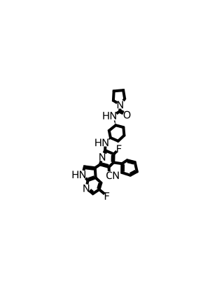 N#Cc1c(-c2c[nH]c3ncc(F)cc23)nc(N[C@H]2CCC[C@@H](NC(=O)N3CCCC3)C2)c(F)c1-c1ccccc1